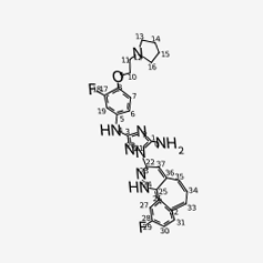 Nc1nc(Nc2ccc(OCCN3CCCC3)c(F)c2)nn1C1=NNC2=c3cc(F)ccc3=CC=CC2=C1